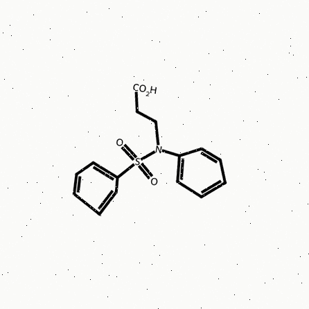 O=C(O)CCN(c1ccccc1)S(=O)(=O)c1ccccc1